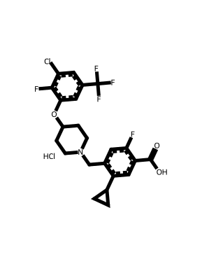 Cl.O=C(O)c1cc(C2CC2)c(CN2CCC(Oc3cc(C(F)(F)F)cc(Cl)c3F)CC2)cc1F